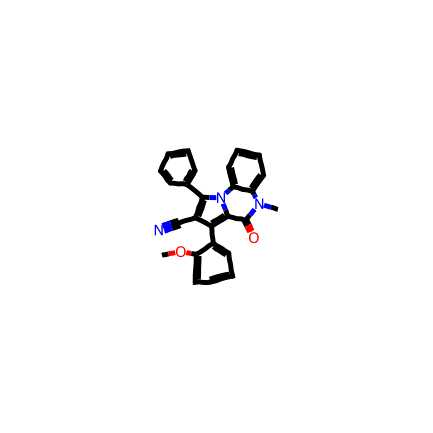 COc1ccccc1-c1c(C#N)c(-c2ccccc2)n2c1c(=O)n(C)c1ccccc12